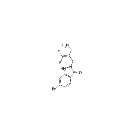 NCC(Cn1[nH]c2cc(Br)cc[n+]2c1=O)=C(F)F